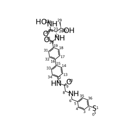 CSc1ccc(CNCC(=O)Nc2ccc(-c3ccc(C(=O)N[C@H](C(=O)NO)[C@@H](C)O)cc3)cc2)cc1